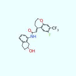 O=C(/C=C1\CCCOc2cc(C(F)(F)F)c(F)cc21)Nc1cccc2c1CC(O)CC2